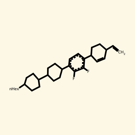 C=CC1C=CC(c2ccc(C3CCC(C4CCC(CCCCCC)CC4)CC3)c(F)c2F)CC1